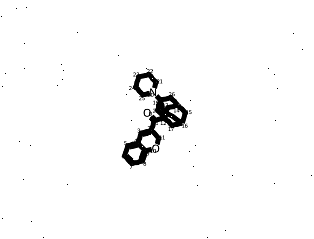 O=C(C1=Cc2ccccc2OC1)C12CC3CC(C1)CC(N1CCCCC1)(C3)C2